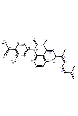 C=C(Cl)/C=C\C=C(\Cl)C(C)/C=C(/CC)c1c(F)cccc1N(C=O)c1ccc(C(=O)O)c(O)c1